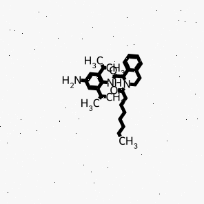 CCCCCCCC(=O)N1CCc2ccccc2C1C(=O)Nc1c(C(C)C)cc(N)cc1C(C)C